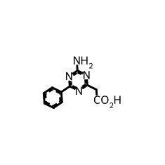 Nc1nc(CC(=O)O)nc(-c2ccccc2)n1